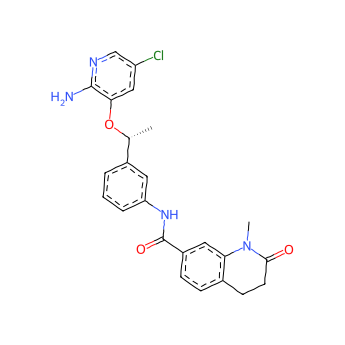 C[C@@H](Oc1cc(Cl)cnc1N)c1cccc(NC(=O)c2ccc3c(c2)N(C)C(=O)CC3)c1